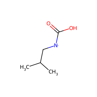 CC(C)C[N]C(=O)O